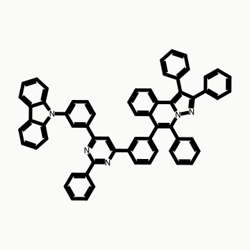 c1ccc(-c2nc(-c3cccc(-c4c(-c5ccccc5)n5nc(-c6ccccc6)c(-c6ccccc6)c5c5ccccc45)c3)cc(-c3cccc(-n4c5ccccc5c5ccccc54)c3)n2)cc1